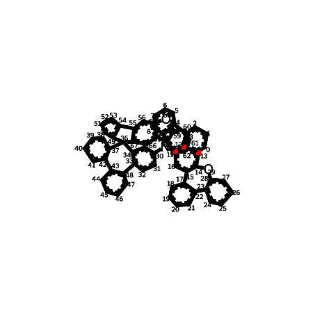 c1ccc(-c2ccccc2N(c2ccc3c(c2)-c2ccccc2-c2ccccc2O3)c2ccc3c(c2)C2(c4ccccc4-c4ccccc4-3)c3ccccc3-c3cc4oc5ccccc5c4cc32)cc1